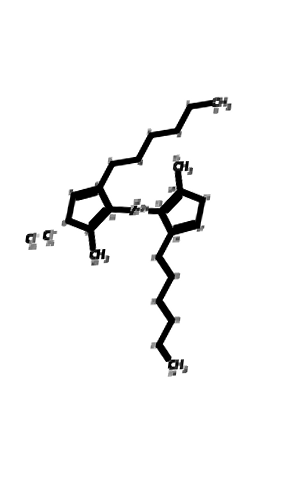 CCCCCCC1=CCC(C)=[C]1[Zr+2][C]1=C(C)CC=C1CCCCCC.[Cl-].[Cl-]